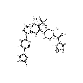 Cc1nc(-c2ccc(-c3cnn4c(N)c(S(C)(=O)=O)c([C@@H]5CCN(C(=O)c6cn[nH]n6)[C@@H](C)C5)nc34)cn2)cs1